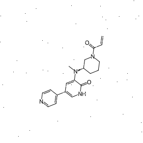 C=CC(=O)N1CCC[C@@H](N(C)c2cc(-c3ccncc3)c[nH]c2=O)C1